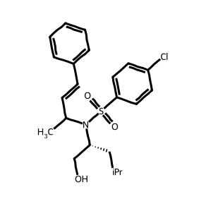 CC(C)C[C@H](CO)N(C(C)C=Cc1ccccc1)S(=O)(=O)c1ccc(Cl)cc1